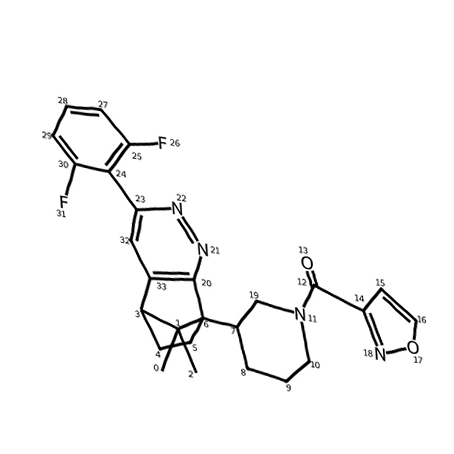 CC1(C)C2CCC1(C1CCCN(C(=O)c3ccon3)C1)c1nnc(-c3c(F)cccc3F)cc12